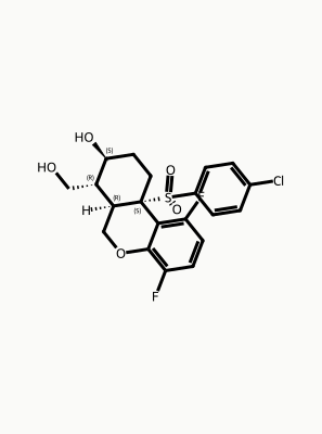 O=S(=O)(c1ccc(Cl)cc1)[C@@]12CC[C@H](O)[C@@H](CO)[C@@H]1COc1c(F)ccc(F)c12